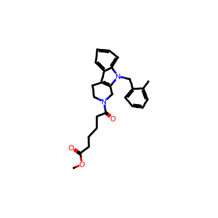 COC(=O)CCCCC(=O)N1CCc2c(n(Cc3ccccc3C)c3ccccc23)C1